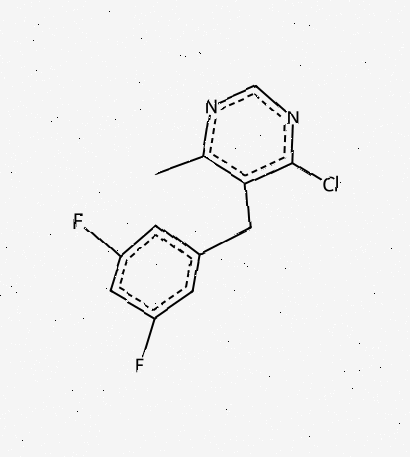 Cc1ncnc(Cl)c1Cc1cc(F)cc(F)c1